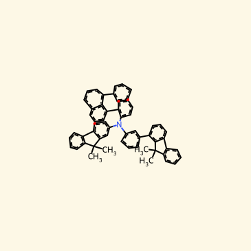 CC1(C)c2ccccc2-c2ccc(N(c3cccc(-c4cccc5c4C(C)(C)c4ccccc4-5)c3)c3ccccc3-c3cccc4cccc(-c5ccccc5)c34)cc21